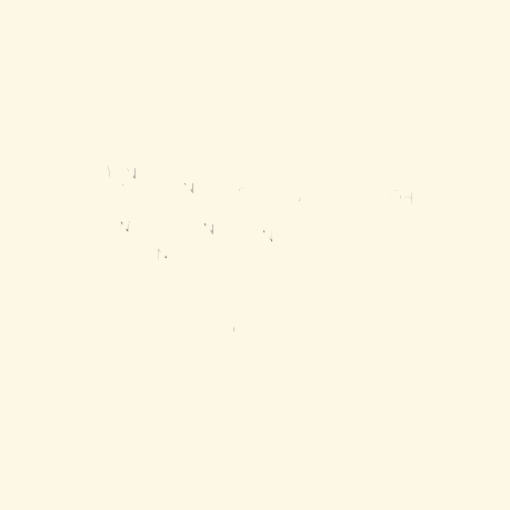 CCCCn1c(Sc2nc3cccc(CO)c3s2)nc2c(N)ncnc21